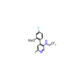 COc1cc(F)ccc1-c1cc(C)ncc1NCC(F)(F)F